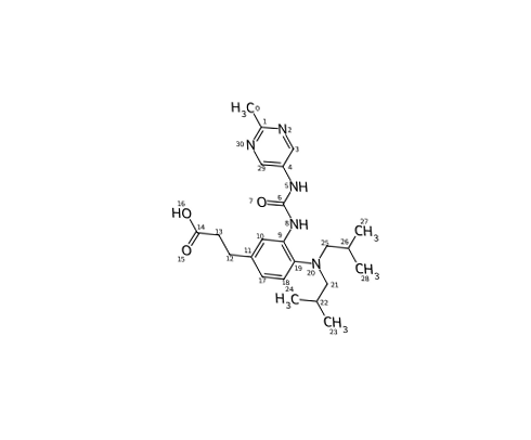 Cc1ncc(NC(=O)Nc2cc(CCC(=O)O)ccc2N(CC(C)C)CC(C)C)cn1